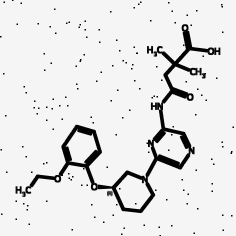 CCOc1ccccc1O[C@@H]1CCCN(c2cncc(NC(=O)CC(C)(C)C(=O)O)n2)C1